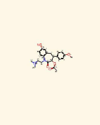 COc1ccc(C2Cc3cc(O)ccc3N(CCN(C)C)C(=O)C2OC(C)=O)cc1